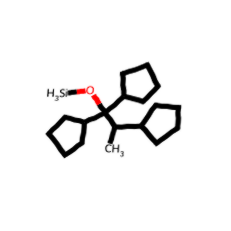 CC(C1CCCC1)C(O[SiH3])(C1CCCC1)C1CCCC1